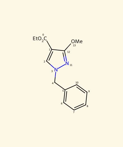 CCOC(=O)c1cn(Cc2ccccc2)nc1OC